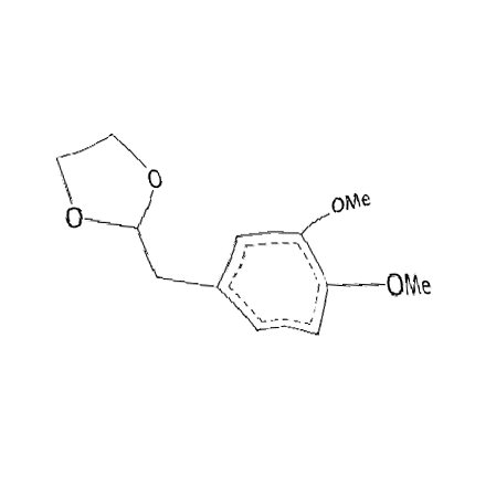 COc1ccc(CC2OCCO2)cc1OC